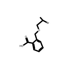 CC(Br)COCc1ccccc1C(=O)O